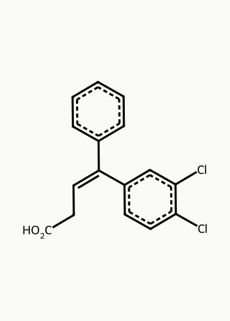 O=C(O)CC=C(c1ccccc1)c1ccc(Cl)c(Cl)c1